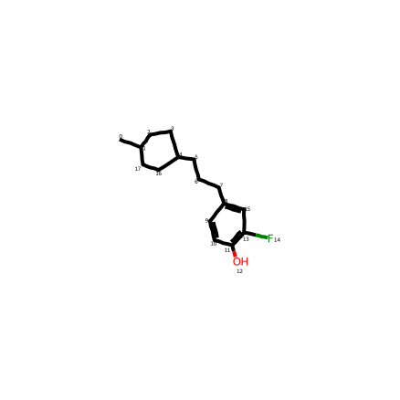 CC1CCC(CCCc2ccc(O)c(F)c2)CC1